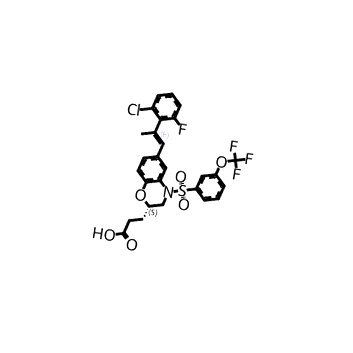 C/C(=C\c1ccc2c(c1)N(S(=O)(=O)c1cccc(OC(F)(F)F)c1)C[C@H](CCC(=O)O)O2)c1c(F)cccc1Cl